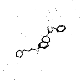 O=C(CNc1ccccc1)N1CCc2ccc(OCCCN3CCCCC3)cc2CC1